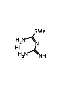 CSC(N)=NC(=N)N.I